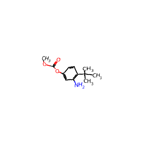 COC(=O)Oc1ccc(C(C)(C)C)c(N)c1